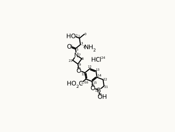 CC(O)[C@H](N)C(=O)N1CC(Oc2ccc3c(c2C(=O)O)OB(O)CC3)C1.Cl